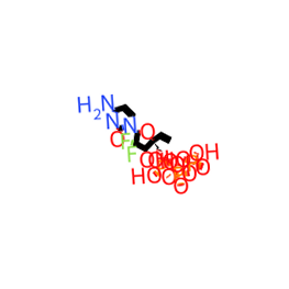 C=C[C@]1(COP(=O)(O)OP(=O)(O)OP(=O)(O)O)OC(n2ccc(N)nc2=O)C(F)(F)[C@@H]1O